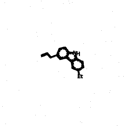 C=CCc1ccc2[nH]c3ccc(CC)cc3c2c1